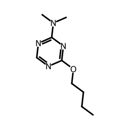 CCCCOc1ncnc(N(C)C)n1